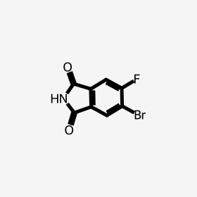 O=C1NC(=O)c2cc(Br)c(F)cc21